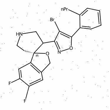 CCCc1ccccc1-c1onc(C2CNCC[C@@]23OCc2cc(F)c(F)cc23)c1Br